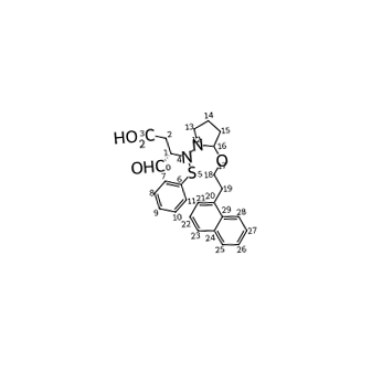 O=C[C@H](CC(=O)O)N(Sc1ccccc1)N1CCCC1OCCc1cccc2ccccc12